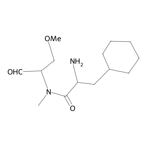 COCC(C=O)N(C)C(=O)C(N)CC1CCCCC1